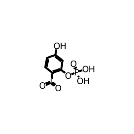 O=I(=O)c1ccc(O)cc1OP(=O)(O)O